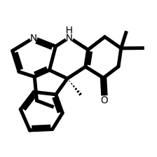 CCc1ccnc2c1[C@](C)(c1ccccc1)C1=C(CC(C)(C)CC1=O)N2